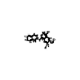 COc1cc2c(Cc3ccc4ccccc4n3)cnc(C)c2cc1OC